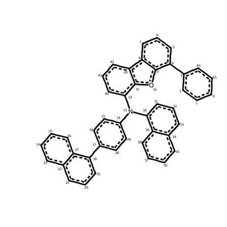 c1ccc(-c2cccc3c2oc2c(N(c4ccc(-c5cccc6ccccc56)cc4)c4cccc5ccccc45)cccc23)cc1